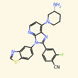 N#Cc1ccc(-c2nc3c(N4CCC[C@@H](N)C4)ccnc3n2-c2ccc3scnc3c2)cc1F